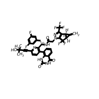 C=C1[C@@H]2c3c(C(F)(F)F)nn(CC(=O)N[C@@H](Cc4cc(F)cc(F)c4)c4nc(C#CC(C)(C)O)ccc4-c4cccc5c(=O)[nH]c(=O)[nH]c45)c3C(F)(F)[C@H]12